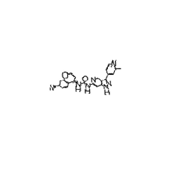 Cc1cc(-c2n[nH]c3cc(NC(=O)N[C@@H]4CCOc5cc(C#N)ccc54)ncc23)ccn1